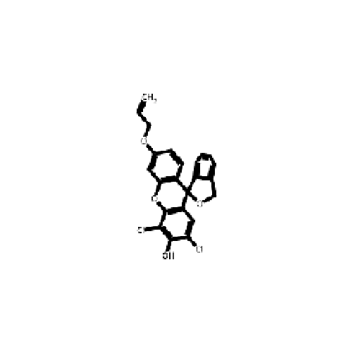 C=CCOc1ccc2c(c1)Oc1c(cc(Cl)c(O)c1Cl)C21OCc2ccccc21